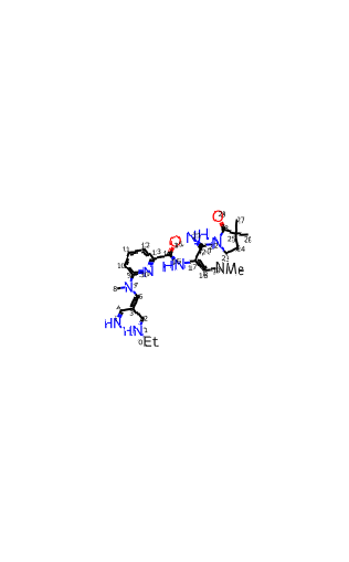 CCNC/C(C=N)=C/N(C)c1cccc(C(=O)N/C(=C/NC)C(=N)N2CCC(C)(C)C2=O)n1